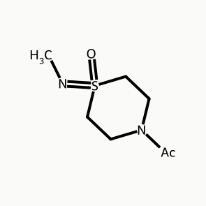 CN=S1(=O)CCN(C(C)=O)CC1